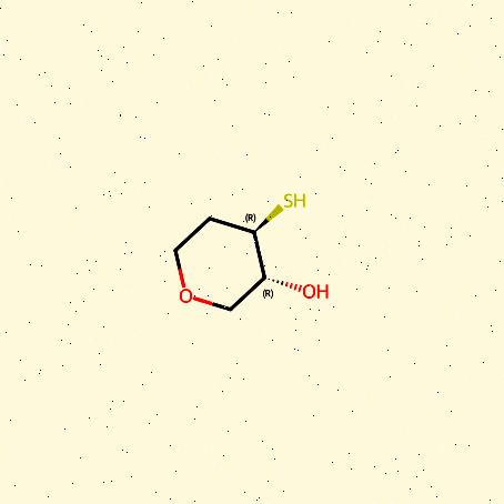 O[C@@H]1COCC[C@H]1S